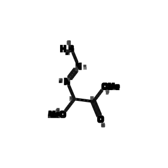 BN=NC(OC)C(=O)OC